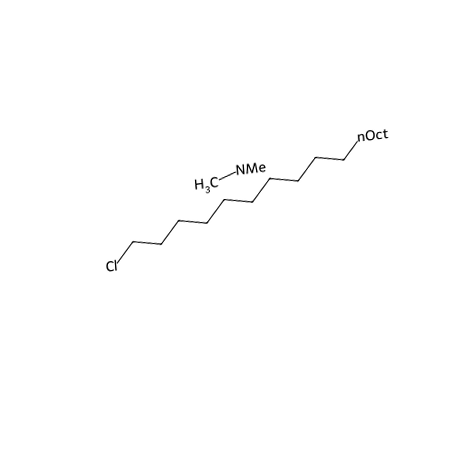 CCCCCCCCCCCCCCCCCCCl.CNC